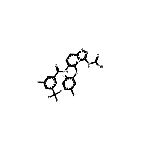 O=C(O)Nc1nnc2ccc(NC(=O)c3cc(F)cc(C(F)(F)F)c3)c(Oc3cc(F)ccc3Cl)n12